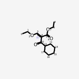 CCO/C=C(/C(=O)OCC)C(=O)C1CCCCC1